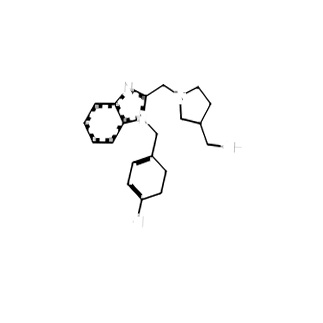 OCC1CCN(Cc2nc3ccccc3n2CC2=CC=C(Cl)CC2)C1